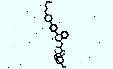 COCCCN1CCN(c2ccc(N3CCN(OC(=O)NC4[C@@H]5CC6C[C@H]4CC(O)(C6)C5)c4ccccc43)nc2)CC1